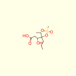 CCCC(CC)(OS(C)(=O)=O)C(O)CC(=O)O